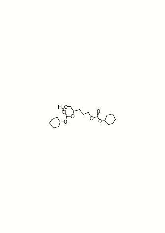 CCC(CCCOC(=O)OC1CCCCC1)OC(=O)OC1CCCCC1